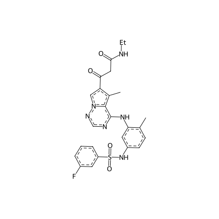 CCNC(=O)CC(=O)c1cn2ncnc(Nc3cc(NS(=O)(=O)c4cccc(F)c4)ccc3C)c2c1C